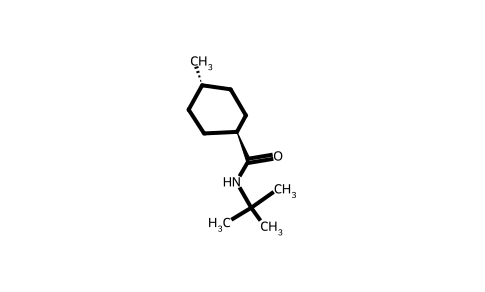 CC(C)(C)NC(=O)[C@H]1CC[C@H](C)CC1